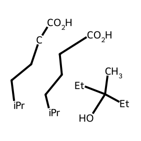 CC(C)CCCC(=O)O.CC(C)CCCC(=O)O.CCC(C)(O)CC